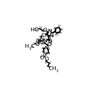 CCCCOC(=O)N1CCN(C(=O)[C@H](CP(=O)(OCC)OCC)NC(=O)c2cc(OCCO)nc(-c3ccccc3)n2)CC1